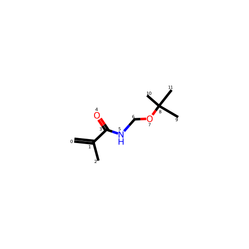 C=C(C)C(=O)NCOC(C)(C)C